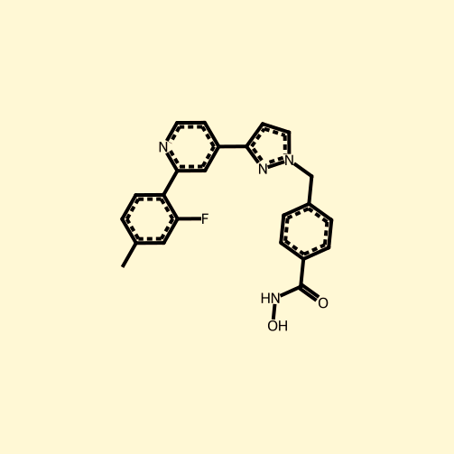 Cc1ccc(-c2cc(-c3ccn(Cc4ccc(C(=O)NO)cc4)n3)ccn2)c(F)c1